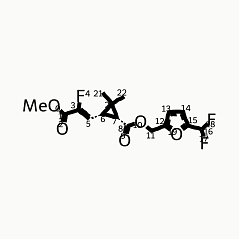 COC(=O)/C(F)=C/[C@H]1[C@@H](C(=O)OCc2ccc(C(F)F)o2)C1(C)C